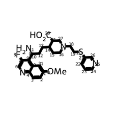 COc1ccc2ncc(F)c([C@H](N)CCC3CCN(CCSc4cccnc4)CC3C(=O)O)c2c1